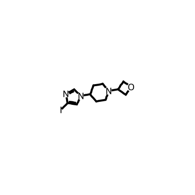 Ic1cn(C2CCN(C3COC3)CC2)cn1